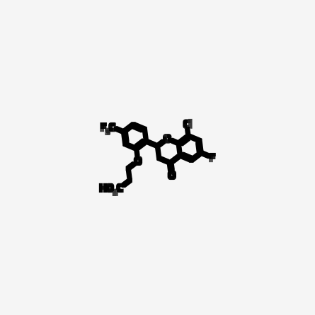 O=C(O)CCOc1cc(C(F)(F)F)ccc1C1CC(=O)c2cc(F)cc(Cl)c2O1